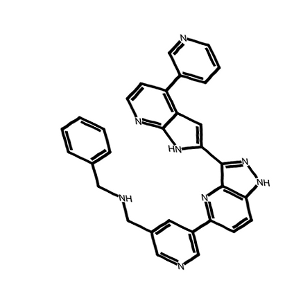 c1ccc(CNCc2cncc(-c3ccc4[nH]nc(-c5cc6c(-c7cccnc7)ccnc6[nH]5)c4n3)c2)cc1